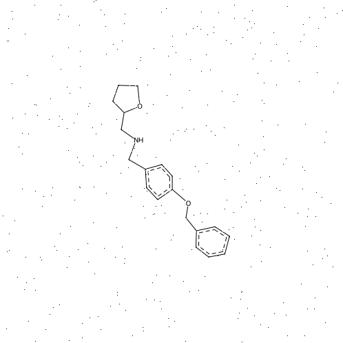 c1ccc(COc2ccc(CNCC3CCCO3)cc2)cc1